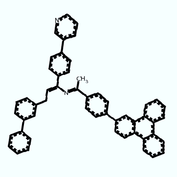 C/C(=N\C(=C/Cc1cccc(-c2ccccc2)c1)c1ccc(-c2cccnc2)cc1)c1ccc(-c2ccc3c4ccccc4c4ccccc4c3c2)cc1